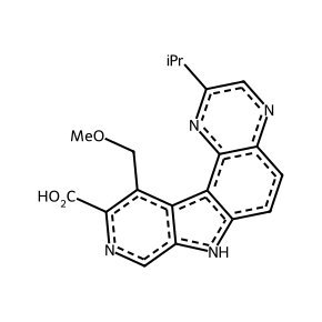 COCc1c(C(=O)O)ncc2[nH]c3ccc4ncc(C(C)C)nc4c3c12